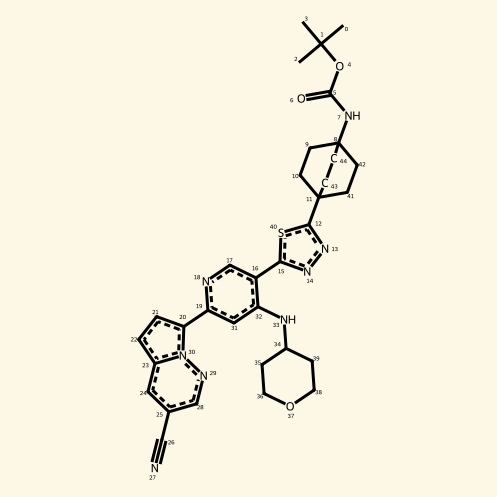 CC(C)(C)OC(=O)NC12CCC(c3nnc(-c4cnc(-c5ccc6cc(C#N)cnn56)cc4NC4CCOCC4)s3)(CC1)CC2